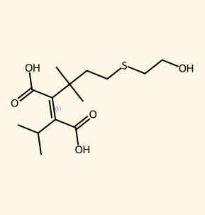 CC(C)/C(C(=O)O)=C(\C(=O)O)C(C)(C)CCSCCO